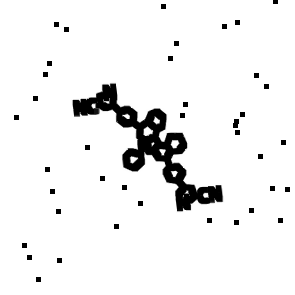 N#Cc1cncc(-c2ccc(-c3cc4c(c5ccccc35)c3c5ccccc5c(-c5ccc(-c6cncc(C#N)c6)cc5)cc3n4-c3ccccc3)cc2)c1